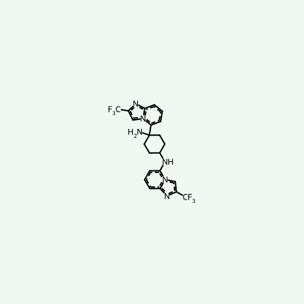 NC1(c2cccc3nc(C(F)(F)F)cn23)CCC(Nc2cccc3nc(C(F)(F)F)cn23)CC1